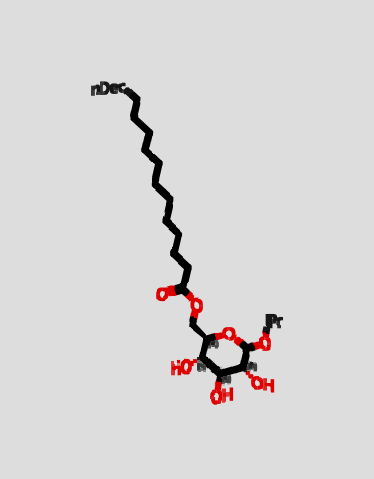 CCCCCCCCCCCCCCCCCCCCCC(=O)OC[C@H]1OC(OC(C)C)[C@H](O)[C@@H](O)[C@@H]1O